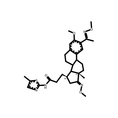 CON=C(C)c1cc2c(cc1OC)CCC1C2CC[C@]2(C)C(=NOC)C[C@@H](CCC(=O)Nc3ncc(C)s3)C12